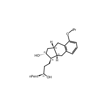 CCCCC[C@H](O)CC[C@@H]1[C@H]2Cc3cccc(OC(C)C)c3C[C@H]2C[C@H]1O